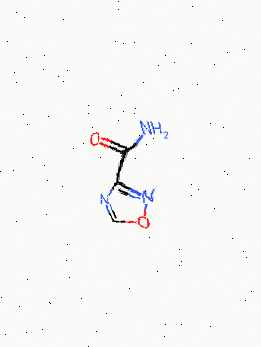 NC(=O)c1ncon1